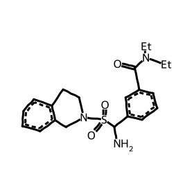 CCN(CC)C(=O)c1cccc(C(N)S(=O)(=O)N2CCc3ccccc3C2)c1